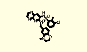 Cc1c(Cl)cccc1S(=O)(=O)Nc1cc2nccnc2nc1OCc1ccc2c(c1)N(C)CCO2